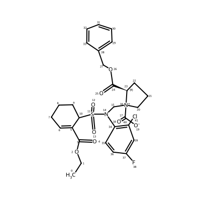 CCOC(=O)C1=CCCCC1S(=O)(=O)N(C[N+]1(C(=O)[O-])CCC[C@@H]1C(=O)OCc1ccccc1)c1ccc(F)cc1Cl